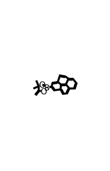 C=C1OB(c2cc3ccc4cccc5ccc(c2)c3c45)OC1(C)C